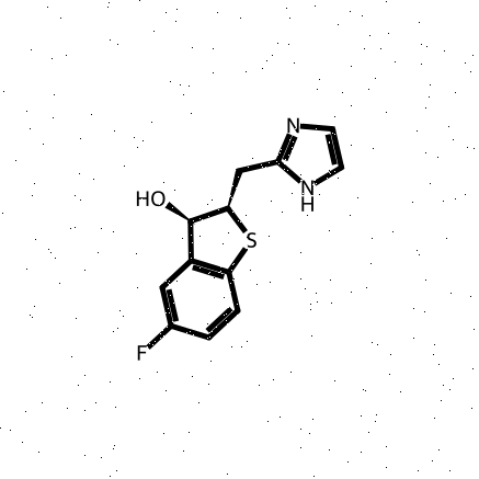 O[C@@H]1c2cc(F)ccc2S[C@@H]1Cc1ncc[nH]1